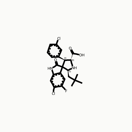 CC(C)(C)C[C@@H]1N[C@@H](C(=O)O)[C@H](c2cccc(Cl)c2)C12C(=O)Nc1cc(Cl)c(F)cc12